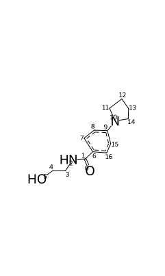 O=C(NCCO)c1ccc(N2CCCC2)cc1